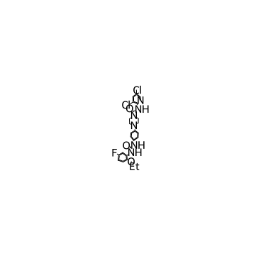 CCOc1ccc(F)cc1NC(=O)Nc1ccc(N2CCN(C(=O)Nc3ncc(Cl)cc3Cl)CC2)cc1